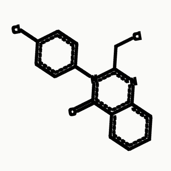 O=c1c2ccccc2nc(CCl)n1-c1ccc(Cl)cc1